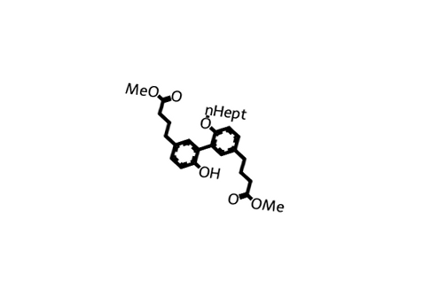 CCCCCCCOc1ccc(CCCC(=O)OC)cc1-c1cc(CCCC(=O)OC)ccc1O